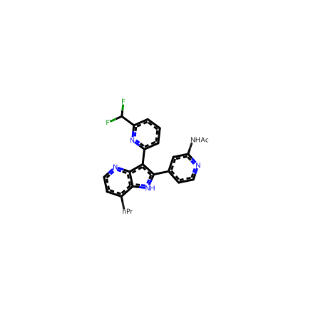 CCCc1ccnc2c(-c3cccc(C(F)F)n3)c(-c3ccnc(NC(C)=O)c3)[nH]c12